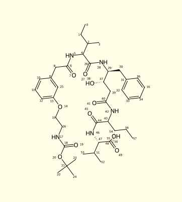 CCC(C)C(NC(=O)Cc1cccc(OCCNC(=O)OC(C)(C)C)c1)C(=O)N[C@@H](Cc1ccccc1)[C@@H](O)CC(=O)NC(C(=O)N[C@H](C(=O)O)C(C)C)[C@@H](C)CC